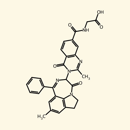 Cc1cc2c3c(c1)C(c1ccccc1)=NC(n1c(C)nc4cc(C(=O)NCC(=O)O)ccc4c1=O)C(=O)N3CC2